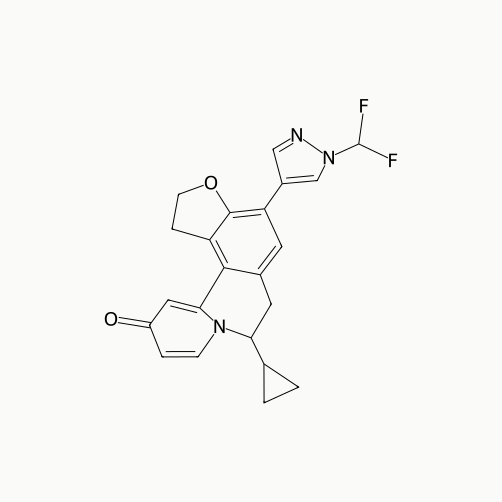 O=c1ccn2c(c1)-c1c(cc(-c3cnn(C(F)F)c3)c3c1CCO3)CC2C1CC1